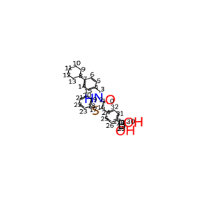 O=C(NCc1ccc(C2CCCCC2)cc1)C(Sc1ccccc1)c1ccc(B(O)O)cc1